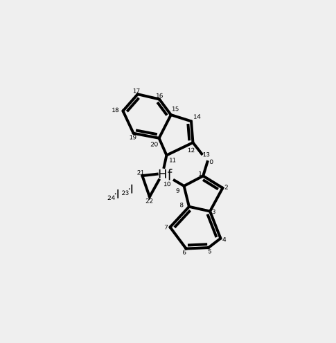 CC1=Cc2ccccc2[CH]1[Hf]1([CH]2C(C)=Cc3ccccc32)[CH2][CH2]1.[I].[I]